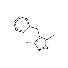 Cc1noc(C)c1Cc1ccccc1